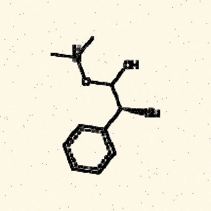 C[SiH](C)OC(O)[C@H](c1ccccc1)C(C)(C)C